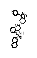 O=C(CC(NS(=O)(=O)c1ccc2ccccc2c1)c1ccccc1)N1CCc2onc(-c3ccncc3)c2C1